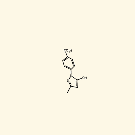 Cc1cc(O)n(-c2ccc(C(=O)O)cc2)n1